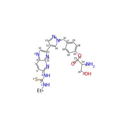 CCNC(=S)Nc1ccc2ncc(-c3cnn(Cc4ccc(OC(=O)C(N)CO)cc4)c3)nc2n1